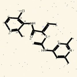 C=C(Nc1cc(C)nc(C)n1)S/C(=C\C)C(=O)Nc1c(Cl)ccnc1C